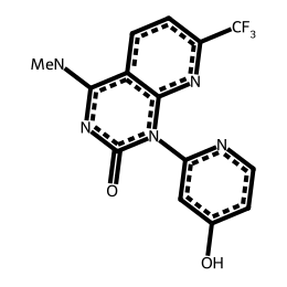 CNc1nc(=O)n(-c2cc(O)ccn2)c2nc(C(F)(F)F)ccc12